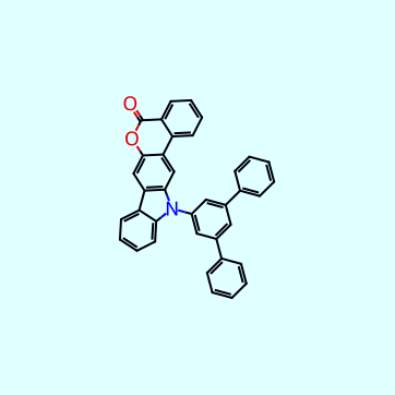 O=c1oc2cc3c4ccccc4n(-c4cc(-c5ccccc5)cc(-c5ccccc5)c4)c3cc2c2ccccc12